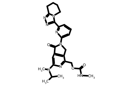 CNC(=O)OCc1nc(N(C)C(C)C)cc2c1CN(c1cccc(-c3nnc4n3CCCC4)n1)C2=O